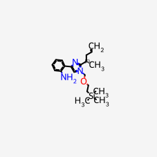 C=CC[C@H](C)c1nc(-c2ccccc2N)cn1COCC[Si](C)(C)C